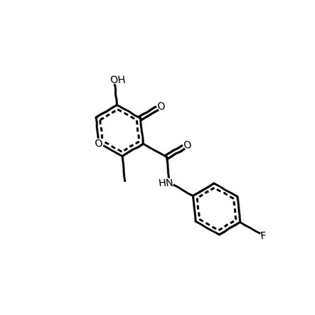 Cc1occ(O)c(=O)c1C(=O)Nc1ccc(F)cc1